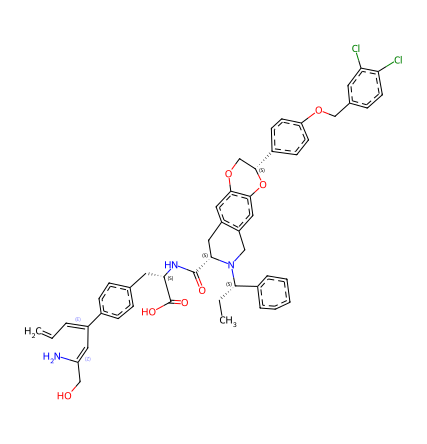 C=C/C=C(\C=C(/N)CO)c1ccc(C[C@H](NC(=O)[C@@H]2Cc3cc4c(cc3CN2[C@@H](CC)c2ccccc2)O[C@@H](c2ccc(OCc3ccc(Cl)c(Cl)c3)cc2)CO4)C(=O)O)cc1